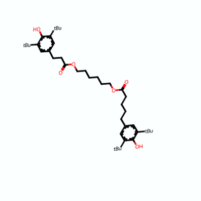 CC(C)(C)c1cc(CCCCC(=O)OCCCCCCOC(=O)CCc2cc(C(C)(C)C)c(O)c(C(C)(C)C)c2)cc(C(C)(C)C)c1O